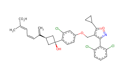 C=C(/C=C\C=C(/C)C(=O)O)[C@H]1C[C@](O)(c2ccc(OCc3c(-c4c(Cl)cccc4Cl)noc3C3CC3)cc2Cl)C1